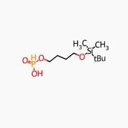 CC(C)(C)[Si](C)(C)OCCCCO[PH](=O)O